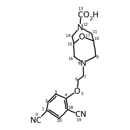 N#Cc1ccc(OCCN2CC3CN(C(=O)O)CC(C2)O3)c(C#N)c1